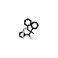 CCCCn1ccnc1C(CC)C(C)(Cc1ccccc1)c1ccccc1